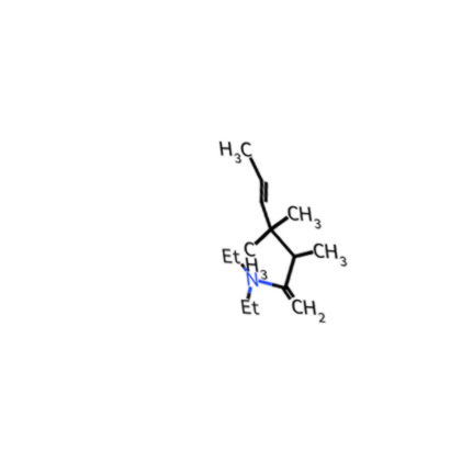 C=C(C(C)C(C)(C)C=CC)N(CC)CC